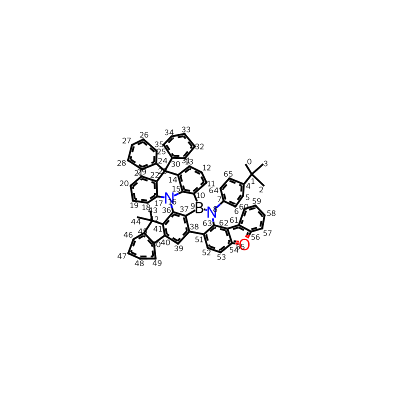 CC(C)(C)c1ccc(N2B3c4cccc5c4N(c4ccccc4C5(c4ccccc4)c4ccccc4)c4c3c(cc3c4C(C)(C)c4ccccc4-3)-c3ccc4oc5ccccc5c4c32)cc1